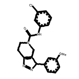 COc1cccc(C2N=NC3=C2CN(C(=O)Nc2cccc(Cl)c2)CC3)c1